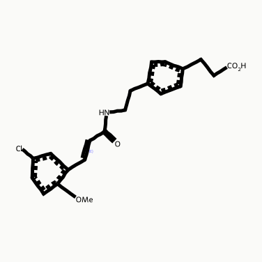 COc1ccc(Cl)cc1/C=C/C(=O)NCCc1ccc(CCC(=O)O)cc1